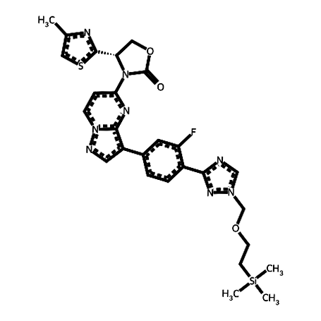 Cc1csc([C@@H]2COC(=O)N2c2ccn3ncc(-c4ccc(-c5ncn(COCC[Si](C)(C)C)n5)c(F)c4)c3n2)n1